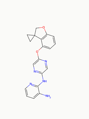 Nc1cccnc1Nc1cnc(Oc2cccc3c2C2(CC2)CO3)cn1